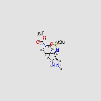 Cn1cc2c(n1)CC1(CCN(C(=O)OC(C)(C)C)CC1)/C2=N\[S@+]([O-])C(C)(C)C